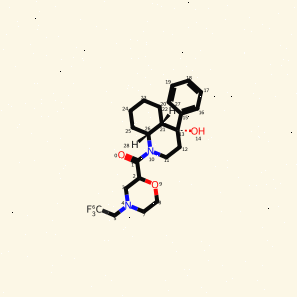 O=C(C1CN(CC(F)(F)F)CCO1)N1CC[C@](O)(c2ccccc2)[C@H]2CCCC[C@H]21